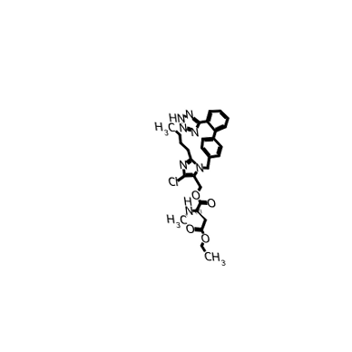 CCCCc1nc(Cl)c(COC(=O)[C@@H](CC(=O)OCC)NC)n1Cc1ccc(-c2ccccc2-c2nn[nH]n2)cc1